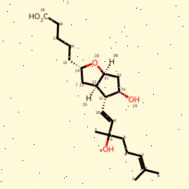 CC(C)=CCCC(C)(O)/C=C/[C@@H]1[C@H]2C[C@H](CCCCC(=O)O)O[C@H]2C[C@H]1O